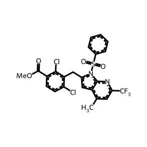 COC(=O)c1ccc(Cl)c(Cc2cc3c(C)cc(C(F)(F)F)nc3n2S(=O)(=O)c2ccccc2)c1Cl